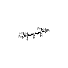 CC(C)N=C(NCCCNCCCNC(=NC(C)C)NC(C)C)NC(C)C